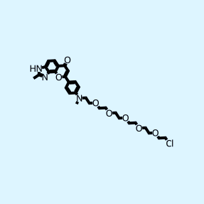 Cc1nc2c(ccc3c(=O)cc(-c4ccc(N(C)CCOCCOCCOCCOCCOCCCl)cc4)oc32)[nH]1